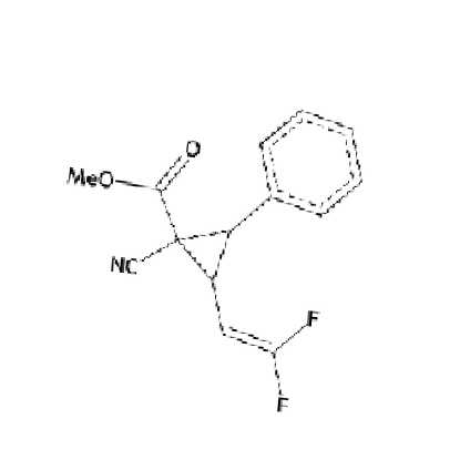 COC(=O)C1(C#N)C(C=C(F)F)C1c1ccccc1